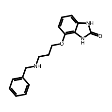 O=c1[nH]c2cccc(OCCCNCc3ccccc3)c2[nH]1